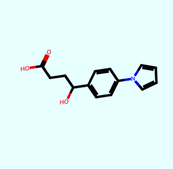 O=C(O)CCC(O)c1ccc(-n2cccc2)cc1